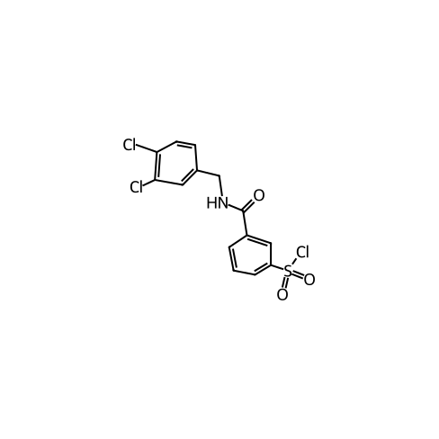 O=C(NCc1ccc(Cl)c(Cl)c1)c1cccc(S(=O)(=O)Cl)c1